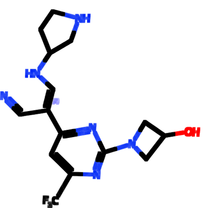 N=C/C(=C\NC1CCNC1)c1cc(C(F)(F)F)nc(N2CC(O)C2)n1